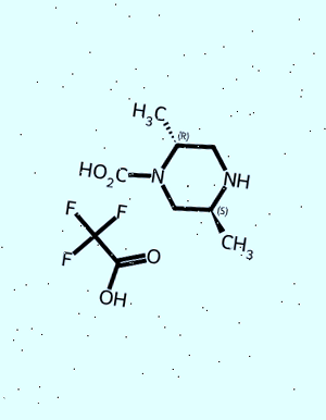 C[C@@H]1CN[C@@H](C)CN1C(=O)O.O=C(O)C(F)(F)F